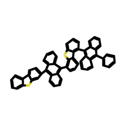 c1ccc(-c2c3ccccc3c(-c3cccc4sc5c(-c6c7ccccc7c(-c7ccc8c(c7)sc7ccccc78)c7ccccc67)cccc5c34)c3ccccc23)cc1